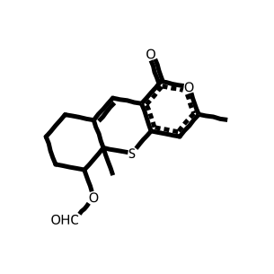 Cc1cc2c(c(=O)o1)C=C1CCCC(OC=O)C1(C)S2